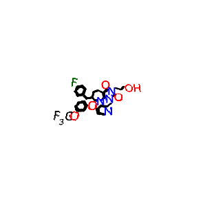 O=c1c2c(n(Cc3ccccn3)c(=O)n1CCCO)N=C(Oc1cccc(OC(F)(F)F)c1)C(Cc1ccc(F)cc1)CC2